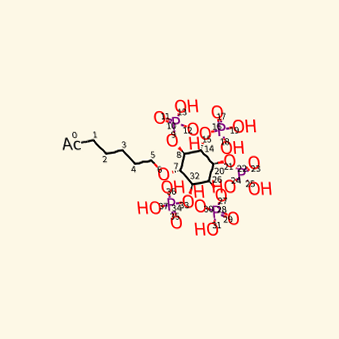 CC(=O)CCCCCO[C@@H]1[C@@H](OP(=O)(O)O)[C@H](OP(=O)(O)O)[C@@H](OP(=O)(O)O)[C@@H](OP(=O)(O)O)[C@H]1OP(=O)(O)O